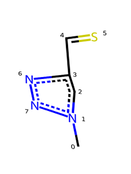 Cn1cc(C=S)nn1